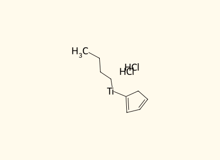 CCC[CH2][Ti][C]1=CC=CC1.Cl.Cl